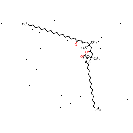 CCCCCCCCCCCCCCCCCC(=O)/C=C/CC(C)(C)CC(CC(C)(C)C)OC(=O)CCCCCCCCCCCCCCCCC